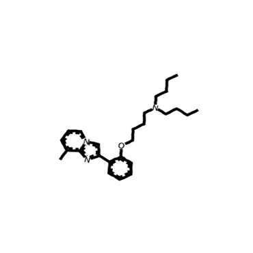 CCCCN(CCCC)CCCCOc1ccccc1-c1cn2cccc(C)c2n1